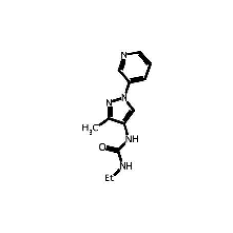 CCNC(=O)Nc1cn(-c2cccnc2)nc1C